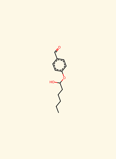 CCCCCC(O)Oc1ccc(C=O)cc1